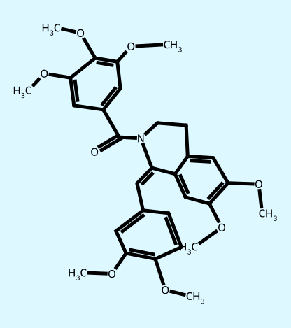 COc1ccc(C=C2c3cc(OC)c(OC)cc3CCN2C(=O)c2cc(OC)c(OC)c(OC)c2)cc1OC